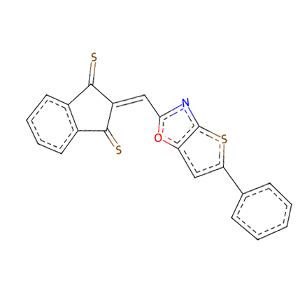 S=C1C(=Cc2nc3sc(-c4ccccc4)cc3o2)C(=S)c2ccccc21